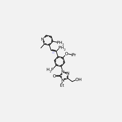 CCn1c(CO)nn(-c2cc(OC(C)C)c(/C(P)=C/c3c(P)ccnc3C)cc2P)c1=O